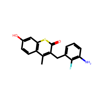 Cc1c(Cc2cccc(N)c2F)c(=O)sc2cc(O)ccc12